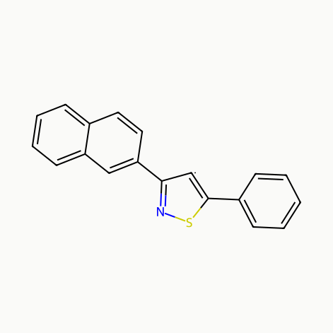 [c]1c(-c2ccc3ccccc3c2)nsc1-c1ccccc1